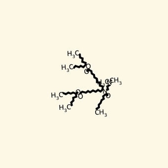 CCCCCCCCC(=O)N(CCCN(C)C)C(CCCCCCCCCC(=O)OC(CCCCCC)CCCCCC)CCCCCCCCC(=O)OC(CCCCCC)CCCCCC